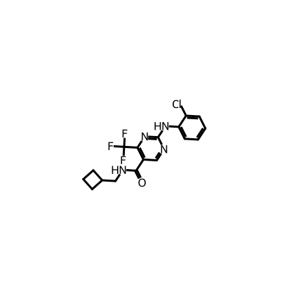 O=C(NCC1CCC1)c1cnc(Nc2ccccc2Cl)nc1C(F)(F)F